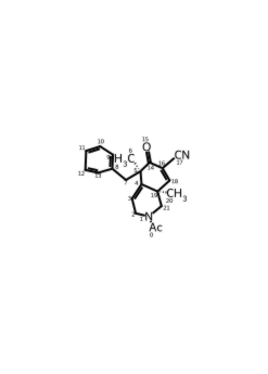 CC(=O)N1CC=C2[C@@](C)(Cc3ccccc3)C(=O)C(C#N)=C[C@@]2(C)C1